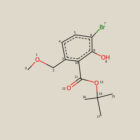 COCc1ccc(Br)c(O)c1C(=O)OC(C)(C)C